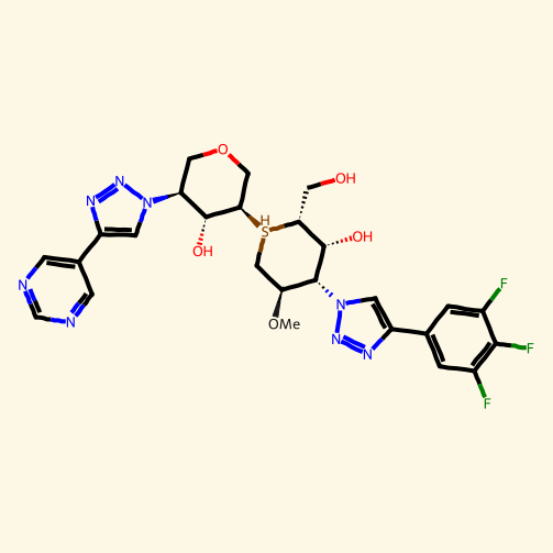 CO[C@H]1C[SH]([C@@H]2COC[C@H](n3cc(-c4cncnc4)nn3)[C@H]2O)[C@H](CO)[C@H](O)[C@@H]1n1cc(-c2cc(F)c(F)c(F)c2)nn1